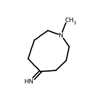 CN1CCCC(=N)CCC1